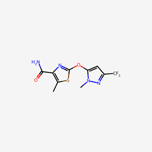 Cc1sc(Oc2cc(C(F)(F)F)nn2C)nc1C(N)=O